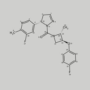 Cc1ncc([C@@H]2CC=NN2C(=O)N2C[C@H](Oc3ccc(F)cc3)[C@H]2C)cc1F